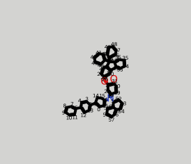 C1=C(c2ccc(-c3ccccc3)cc2)CCC(N(c2ccc3c(c2)Oc2ccc4c(c2O3)-c2ccccc2C4(c2ccccc2)c2ccccc2)c2cccc3ccccc23)=C1